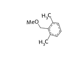 [CH2]OCc1c(C)cccc1C